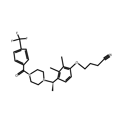 Cc1c(OCCCC#N)ccc([C@@H](C)N2CCN(C(=O)c3ccc(C(F)(F)F)cc3)CC2)c1C